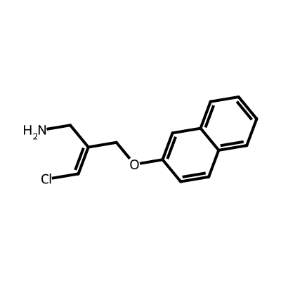 NCC(=CCl)COc1ccc2ccccc2c1